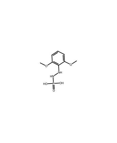 COc1cccc(OC)c1NNP(=O)(O)O